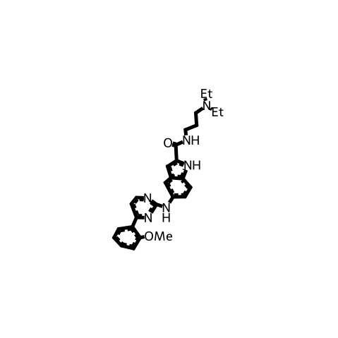 CCN(CC)CCCNC(=O)c1cc2cc(Nc3nccc(-c4ccccc4OC)n3)ccc2[nH]1